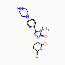 Cn1c(-c2ccc(N3CCNCC3)cc2)nn(C2CCC(=O)NC2=O)c1=O